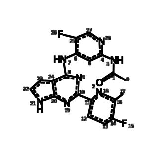 CC(=O)Nc1cc(Nc2nc(-c3ccc(F)c(C)n3)nc3[nH]ccc23)c(F)cn1